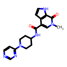 Cn1cc(C(=O)NC2CCN(c3ccncn3)CC2)c2cc[nH]c2c1=O